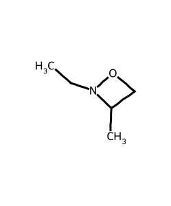 CCN1OCC1C